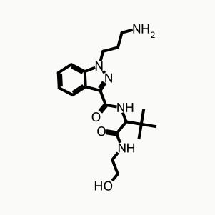 CC(C)(C)C(NC(=O)c1nn(CCCN)c2ccccc12)C(=O)NCCO